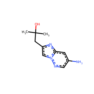 CC(C)(O)Cc1cn2ncc(N)cc2n1